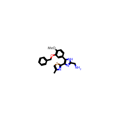 COc1ccc(-c2[nH]c(CN)nc2-c2nc(C)cs2)cc1OCc1ccccc1